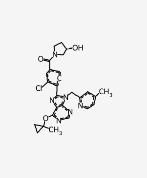 Cc1ccnc(Cn2c(-c3ccc(C(=O)N4CC[C@@H](O)C4)cc3Cl)nc3c(OC4(C)CC4)ncnc32)c1